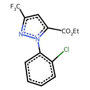 CCOC(=O)c1cc(C(F)(F)F)nn1-c1ccccc1Cl